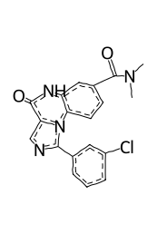 CN(C)C(=O)c1ccc2c(c1)[nH]c(=O)c1cnc(-c3cccc(Cl)c3)n12